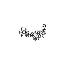 CC[C@H](C)[C@H](NC(=O)C(C)(C)N1CCCC1)C(=O)N(C)[C@H](C[C@@H](OC(C)=O)c1nc(C(=O)Oc2c(F)c(F)c(F)c(F)c2F)cs1)C(C)C